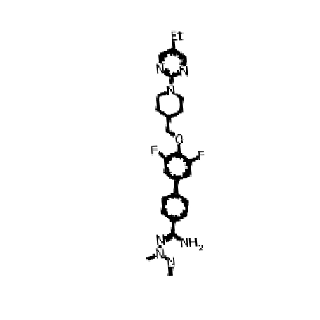 C=NN(C)/N=C(\N)c1ccc(-c2cc(F)c(OCC3CCN(c4ncc(CC)cn4)CC3)c(F)c2)cc1